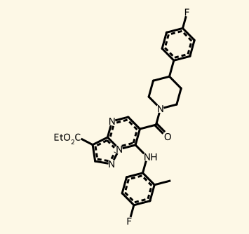 CCOC(=O)c1cnn2c(Nc3ccc(F)cc3C)c(C(=O)N3CCC(c4ccc(F)cc4)CC3)cnc12